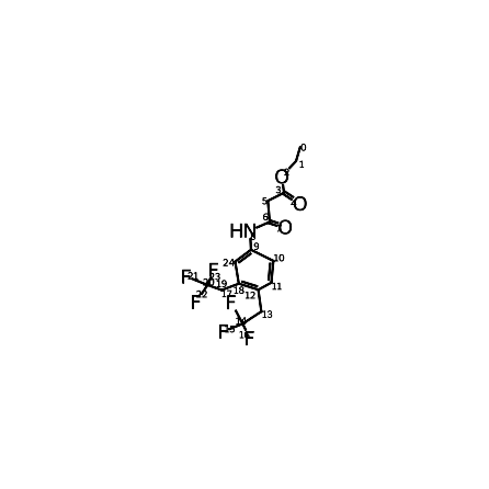 CCOC(=O)CC(=O)Nc1ccc(CC(F)(F)F)c(CC(F)(F)F)c1